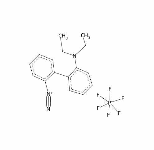 CCN(CC)c1ccccc1-c1ccccc1[N+]#N.F[P-](F)(F)(F)(F)F